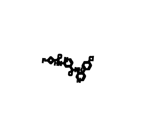 O=C(Nc1cnccc1-c1ccc(Cl)cc1)c1ccnc(NC(=O)C2CC(F)C2)c1